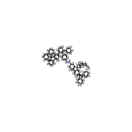 CCC1(CC)c2cc(/C=C/c3ccc(-c4c(-c5ccccc5)cccc4-c4ccc5c(c4)C(c4ccccc4)(c4ccccc4)c4ccccc4-5)cc3)ccc2-c2ccc(N(c3ccccc3)c3ccccc3)cc21